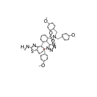 COc1ccc(CN(Cc2ccc(OC)cc2)S(=O)(=O)c2cccc(-c3cccc4sc(N)nc34)c2-c2nnnn2Cc2ccc(OC)cc2)cc1